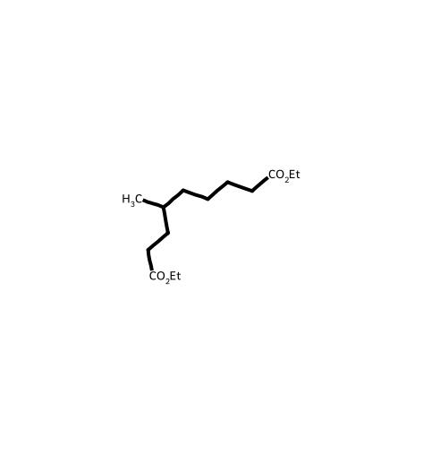 CCOC(=O)CCCCC(C)CCC(=O)OCC